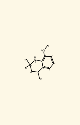 COc1cccc2c1NC(C)(C)CC2C